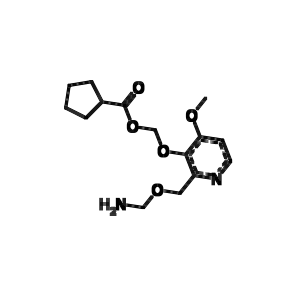 COc1ccnc(COCN)c1OCOC(=O)C1CCCC1